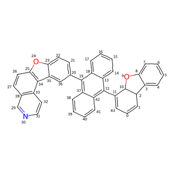 C1=CC2c3ccccc3OC2C(c2c3ccccc3c(-c3ccc4oc5ccc6cnccc6c5c4c3)c3ccccc23)=C1